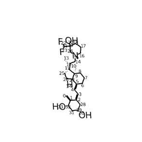 C=C1/C(=C\C=C2/CCC[C@]3(C)[C@@H]([C@H](C)CN4CCCC(O)(C(F)F)C4)CC[C@@H]23)C[C@@H](O)C[C@@H]1O